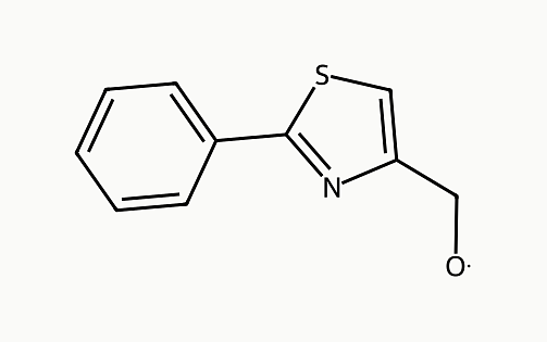 [O]Cc1csc(-c2ccccc2)n1